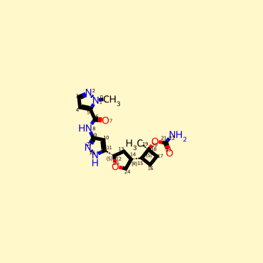 Cn1nccc1C(=O)Nc1cc([C@@H]2C[C@H](C3CC[C@]3(C)OC(N)=O)CO2)[nH]n1